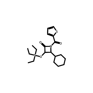 CC[Si](CC)(CC)OC1C(=O)N(C(=O)c2cccs2)C1C1CCCCC1